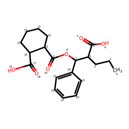 CCCC(C(=O)O)C(OC(=O)C1CCCCC1C(=O)O)c1ccccc1